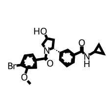 COc1cc(C(=O)N2CC(O)C[C@@H]2c2cccc(C(=O)NC3CC3)c2)ccc1Br